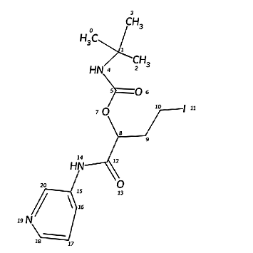 CC(C)(C)NC(=O)OC(CCI)C(=O)Nc1cccnc1